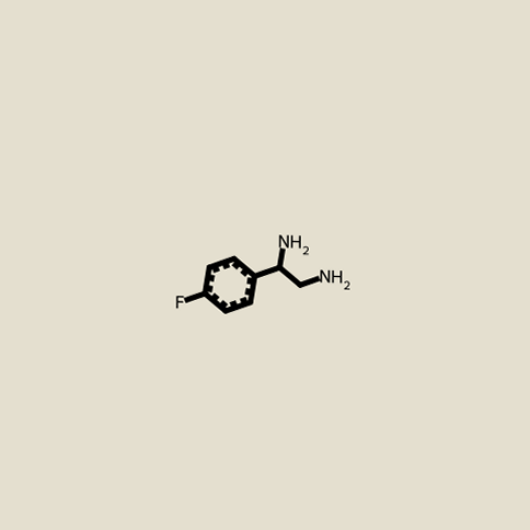 NCC(N)c1ccc(F)cc1